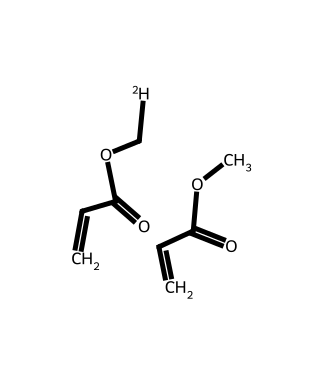 C=CC(=O)OC.[2H]COC(=O)C=C